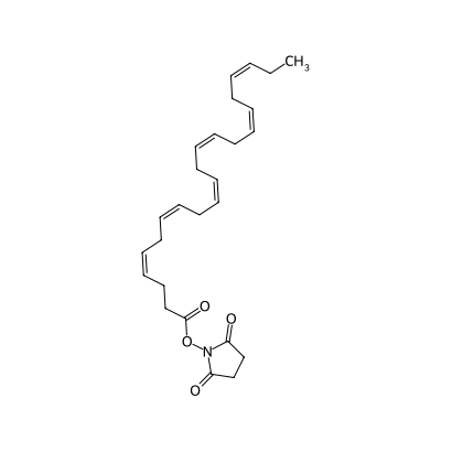 CC/C=C\C/C=C\C/C=C\C/C=C\C/C=C\C/C=C\CCC(=O)ON1C(=O)CCC1=O